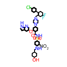 O=C(NS(=O)(=O)c1ccc(NCC2CCC(O)CC2)c([N+](=O)[O-])c1)c1ccc(N2CCN(CC3=C(c4ccc(Cl)cc4)CCC(F)(F)C3)CC2)cc1Oc1cnc2[nH]ccc2c1